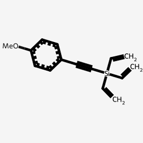 C=C[Si](C#Cc1ccc(OC)cc1)(C=C)C=C